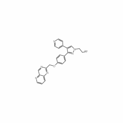 [18F]CCn1cc(-c2ccncc2)c(-c2ccc(OCc3ncc4ncccc4n3)cc2)n1